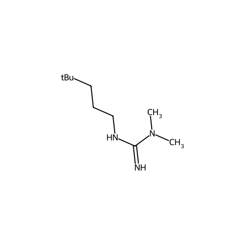 CN(C)C(=N)NCCCC(C)(C)C